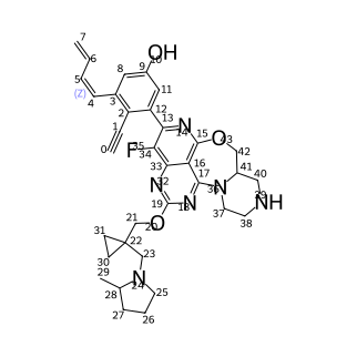 C#Cc1c(/C=C\C=C)cc(O)cc1-c1nc2c3c(nc(OCC4(CN5CCCC5C)CC4)nc3c1F)N1CCNCC1CO2